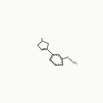 COc1cccc(C2=CCNC2)c1